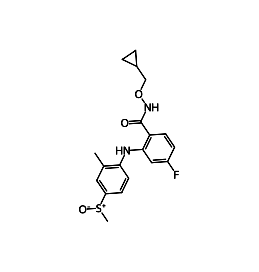 Cc1cc([S+](C)[O-])ccc1Nc1cc(F)ccc1C(=O)NOCC1CC1